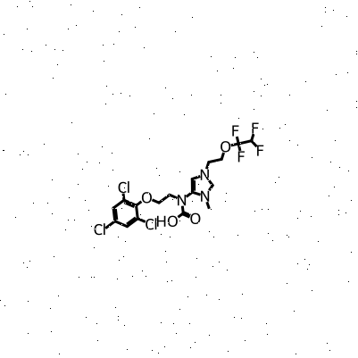 CN1CN(CCOC(F)(F)C(F)F)C=C1N(CCOc1c(Cl)cc(Cl)cc1Cl)C(=O)O